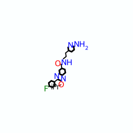 CC(C)Oc1nc2ccc(C(=O)NCCCc3ccc(N)nc3)cc2nc1-c1ccc(F)cc1